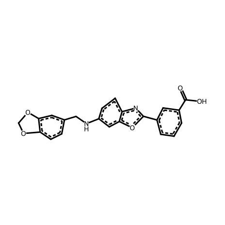 O=C(O)c1cccc(-c2nc3ccc(NCc4ccc5c(c4)OCO5)cc3o2)c1